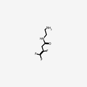 NCCNC(=O)CC(F)=C(F)F